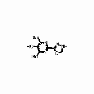 CC(C)(C)c1nc(C2=NNCO2)nc(C(C)(C)C)c1O